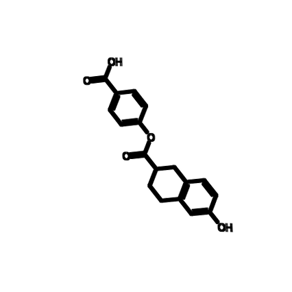 O=C(O)c1ccc(OC(=O)C2CCc3cc(O)ccc3C2)cc1